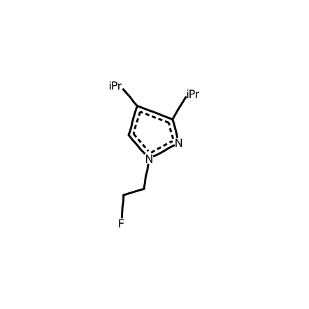 CC(C)c1cn(CCF)nc1C(C)C